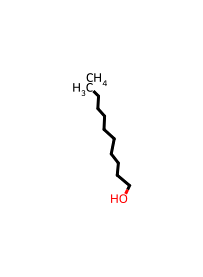 C.CCCCCCCCCCO